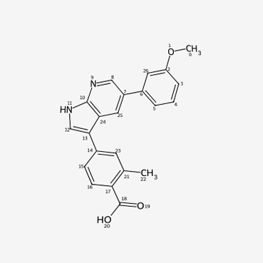 COc1cccc(-c2cnc3[nH]cc(-c4ccc(C(=O)O)c(C)c4)c3c2)c1